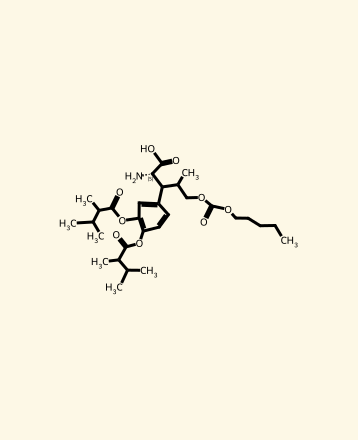 CCCCCOC(=O)OCC(C)C(c1ccc(OC(=O)C(C)C(C)C)c(OC(=O)C(C)C(C)C)c1)[C@H](N)C(=O)O